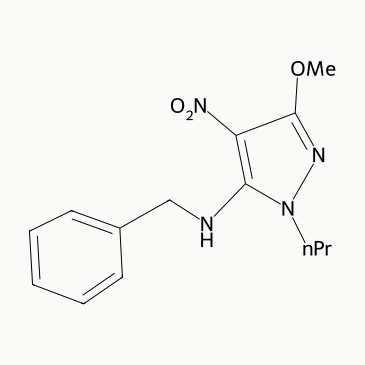 CCCn1nc(OC)c([N+](=O)[O-])c1NCc1ccccc1